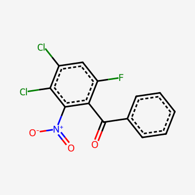 O=C(c1ccccc1)c1c(F)cc(Cl)c(Cl)c1[N+](=O)[O-]